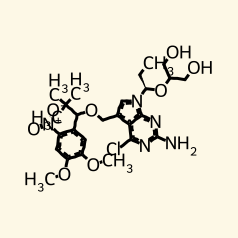 CC[C@@H](OC(CO)CO)n1cc(COC(c2cc(OC)c(OC)cc2[N+](=O)[O-])C(C)(C)C)c2c(Cl)nc(N)nc21